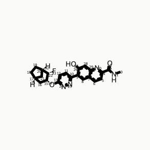 CNC(=O)c1ccc2cc(-c3ccc(O[C@@H]4C[C@H]5CC[C@H](C5)[C@@H]4F)nn3)c(O)cc2n1